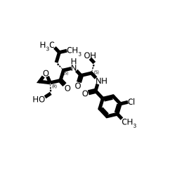 Cc1ccc(C(=O)N[C@@H](CO)C(=O)N[C@@H](CC(C)C)C(=O)[C@@]2(CO)CO2)cc1Cl